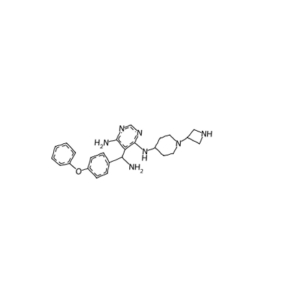 Nc1ncnc(NC2CCN(C3CNC3)CC2)c1C(N)c1ccc(Oc2ccccc2)cc1